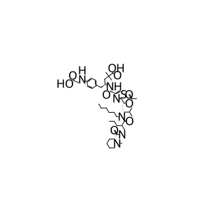 CCCCCCN(C(=O)C(/C=N\C(=O)[C@H]1CCCCN1C)CCC)[C@H](C[C@@H](OC(C)=O)c1nc(C(=O)N[C@@H](Cc2ccc(NCC(=O)O)cc2)CC(C)(C)C(=O)O)cs1)C(C)C